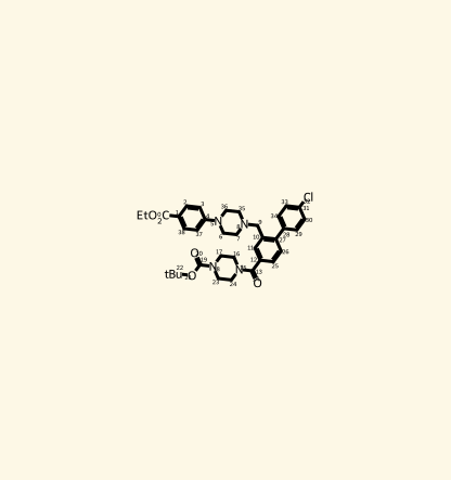 CCOC(=O)c1ccc(N2CCN(Cc3cc(C(=O)N4CCN(C(=O)OC(C)(C)C)CC4)ccc3-c3ccc(Cl)cc3)CC2)cc1